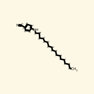 CCCCCCCCCCCCCCCCCCNc1ccc(C#N)cc1